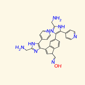 NCc1nc(C2=CC(C=NO)c3ccc(-c4nc(CN)[nH]c4-c4ccncc4)cc32)c(-c2ccncc2)[nH]1